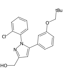 CC(C)(C)COc1cccc(-c2cc(CO)nn2-c2ccccc2Cl)c1